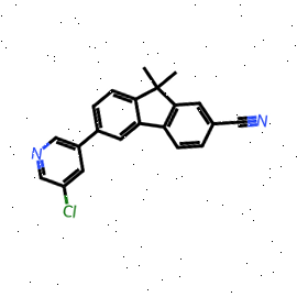 CC1(C)c2ccc(-c3cncc(Cl)c3)cc2-c2ccc(C#N)cc21